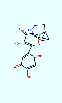 O=C1C=C(c2oc(C34CCNC5C3C54)cc(=O)c2O)C(=O)C=C1O